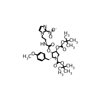 COc1ccc(C[C@@H]2[C@H](OC(=O)NCCn3ccnc3[N+](=O)[O-])[C@@H](OC(=O)OC(C)(C)C)CN2C(=O)OC(C)(C)C)cc1